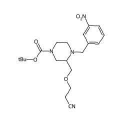 CC(C)(C)OC(=O)N1CCN(Cc2cccc([N+](=O)[O-])c2)C(COCCC#N)C1